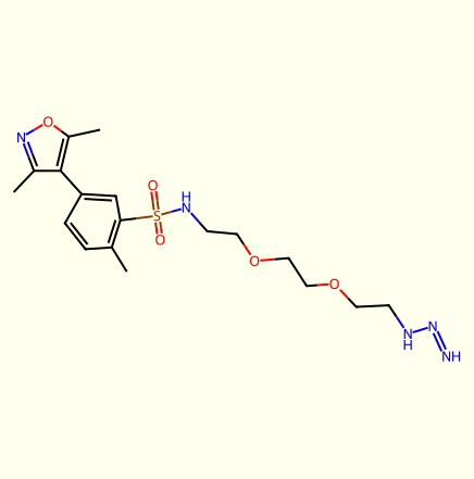 Cc1ccc(-c2c(C)noc2C)cc1S(=O)(=O)NCCOCCOCCNN=N